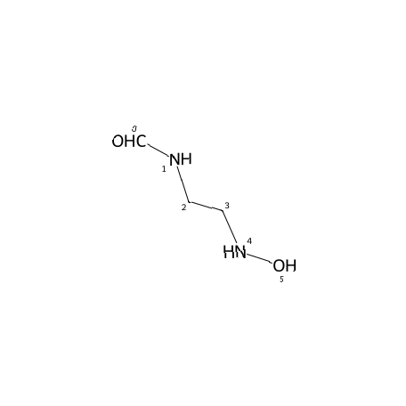 O=CNCCNO